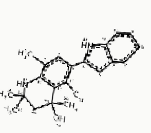 Cc1cc(-c2cc3ccccc3[nH]2)c(Cl)c2c1NC(C)(C)CC2(C)O